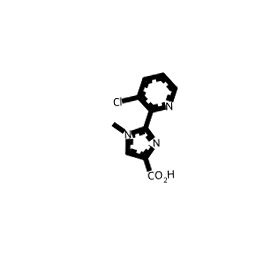 Cn1cc(C(=O)O)nc1-c1ncccc1Cl